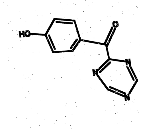 O=C(c1ccc(O)cc1)c1ncncn1